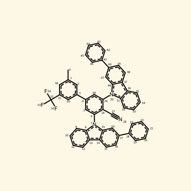 Cc1cc(-c2cc(-n3c4ccccc4c4ccc(-c5ccccc5)cc43)c(C#N)c(-n3c4ccccc4c4ccc(-c5ccccc5)cc43)c2)cc(C(F)(F)F)c1